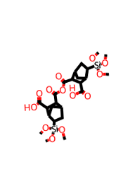 CO[Si](OC)(OC)C1CC2CC1C(C(=O)O)C2C(=O)OC(=O)C1C2CC(C1C(=O)O)C([Si](OC)(OC)OC)C2